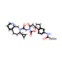 CNC(=O)Nc1ccc2c(c1)CC[C@@]21CC(=O)N(CC(=O)N2Cc3ncccc3CCC2C2CC2)C(=O)O1